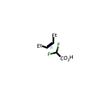 CC/C=C\CC.O=C(O)C(F)F